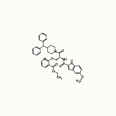 CCOC(=O)c1cccnc1SC[C@H](NC(=O)c1cc2cc(OC)ccc2[nH]1)C(=O)N1CCC(C(c2ccccc2)c2ccccc2)CC1